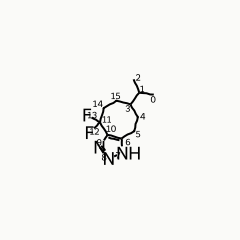 CC(C)C1CCc2[nH]nnc2C(F)(F)CC1